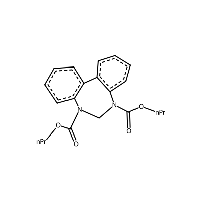 CCCOC(=O)N1CN(C(=O)OCCC)c2ccccc2-c2ccccc21